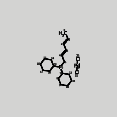 CC=CC=CCP(C1CCCCC1)C1CCCCC1.[Cl][Pd][Cl]